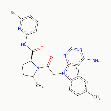 Cc1ccc2c(c1)c1c(N)ncnc1n2CC(=O)N1[C@H](C)CC[C@H]1C(=O)Nc1cccc(Br)n1